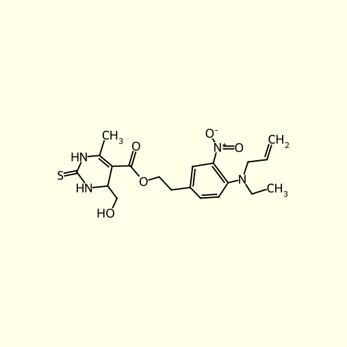 C=CCN(CC)c1ccc(CCOC(=O)C2=C(C)NC(=S)NC2CO)cc1[N+](=O)[O-]